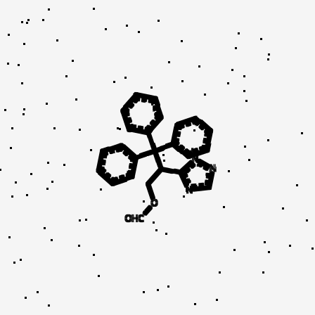 O=COCC(c1ncn[nH]1)C(c1ccccc1)(c1ccccc1)c1ccccc1